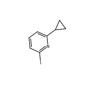 Ic1cccc(C2CC2)n1